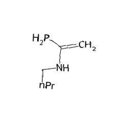 C=C(P)NCCCC